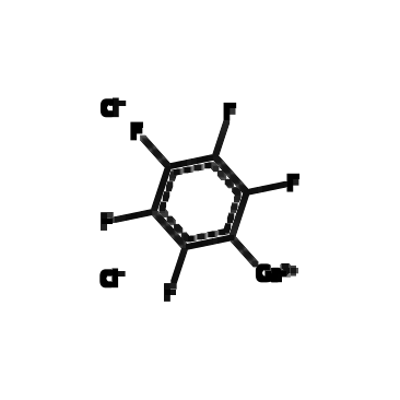 Fc1c(F)c(F)[c]([Ga+2])c(F)c1F.[Cl-].[Cl-]